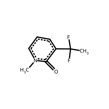 Cn1cccc(C(C)(F)F)c1=O